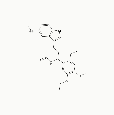 C=CNC(CCc1c[nH]c2ccc(NC)cc12)c1cc(OCC)c(OC)cc1CC